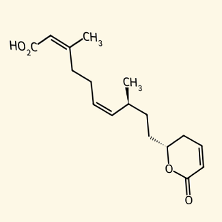 C/C(=C/C(=O)O)CC/C=C\[C@@H](C)CC[C@@H]1CC=CC(=O)O1